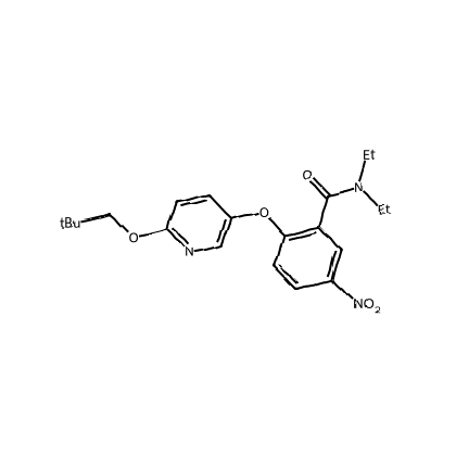 CCN(CC)C(=O)c1cc([N+](=O)[O-])ccc1Oc1ccc(OCC(C)(C)C)nc1